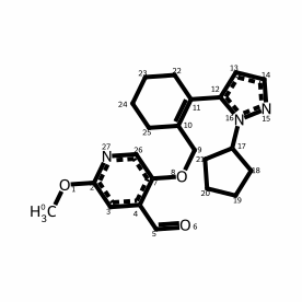 COc1cc(C=O)c(OCC2=C(c3ccnn3C3CCCC3)CCCC2)cn1